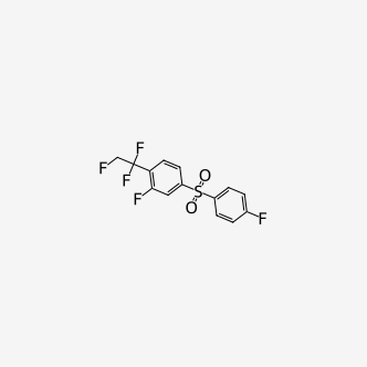 O=S(=O)(c1ccc(F)cc1)c1ccc(C(F)(F)CF)c(F)c1